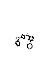 c1ccc(N[C@H]2C[C@H](Nc3cc(N4CCOCC4)ncn3)C2)cc1